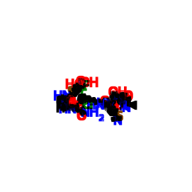 Cc1ncsc1-c1ccc([C@H](CC(=O)NCCCCCc2cccc(OC[C@H](CCC(N)=O)NC(=O)[C@@H]3CC[C@@H]4CCCC[C@H](NC(=O)c5cc6cc(C(F)(F)P(=O)(O)O)ccc6s5)C(=O)N43)c2Cl)NC(=O)[C@@H]2C[C@@H](O)CN2C(=O)[C@H]2n3nnc(C4CC4)c3COCC2(C)C)cc1